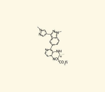 C[C@H](CC(=O)O)Nc1c([N+](=O)[O-])ccnc1-c1ccc2c(c1)c(-c1cnn(C)c1)nn2C